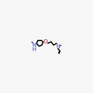 C=CCN(C)CCCCOC1CCC(NC)CC1